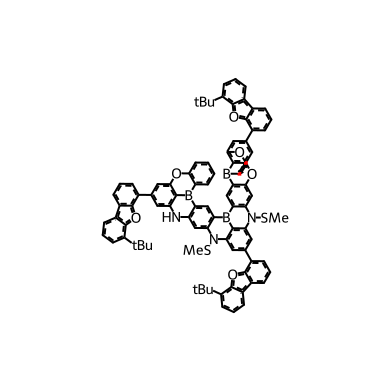 CSN1c2cc3c(cc2B2c4cc5c(cc4N(SC)c4cc(-c6cccc7c6oc6c(C(C)(C)C)cccc67)cc1c42)Oc1cc(-c2cccc4c2oc2c(C(C)(C)C)cccc24)cc2c1B5c1ccccc1O2)B1c2ccccc2Oc2cc(-c4cccc5c4oc4c(C(C)(C)C)cccc45)cc(c21)N3